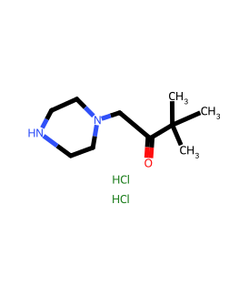 CC(C)(C)C(=O)CN1CCNCC1.Cl.Cl